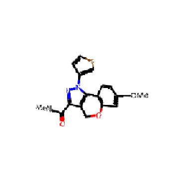 CNC(=O)c1nn(-c2ccsc2)c2c1COc1cc(OC)ccc1-2